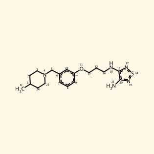 CC1CCN(Cc2cccc(OCCCNc3nsnc3N)c2)CC1